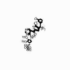 N[C@@H](c1cccc(Cl)c1)c1cc(C(=O)c2cncnc2N[C@@H]2C[C@H]([CH]NS(=O)(=O)O)[C@@H](O)[C@H]2O)sc1Cl